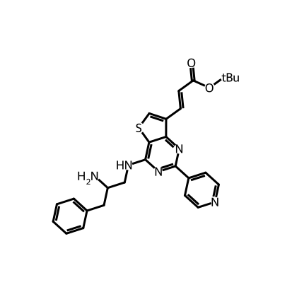 CC(C)(C)OC(=O)C=Cc1csc2c(NCC(N)Cc3ccccc3)nc(-c3ccncc3)nc12